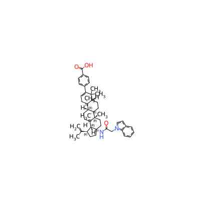 C=C(C)[C@@H]1CC[C@]2(NC(=O)Cn3ccc4ccccc43)CC[C@]3(C)[C@H](CC[C@@H]4[C@@]5(C)CC=C(c6ccc(C(=O)O)cc6)C(C)(C)[C@@H]5CC[C@]43C)[C@@H]12